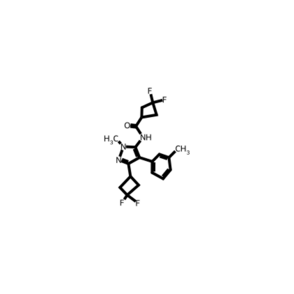 Cc1cccc(-c2c(C3CC(F)(F)C3)nn(C)c2NC(=O)C2CC(F)(F)C2)c1